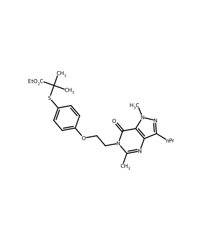 CCCc1nn(C)c2c(=O)n(CCOc3ccc(SC(C)(C)C(=O)OCC)cc3)c(C)nc12